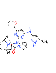 Cc1cc(Nc2cc(C3CCCO3)nc(N(C)[C@@H]3C[C@H]4CCC[C@@H](C3)N4CC(=O)N3CCCC3)n2)n[nH]1